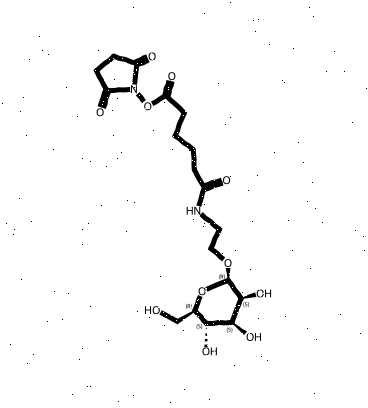 O=C(CCCCC(=O)ON1C(=O)CCC1=O)NCCO[C@@H]1O[C@H](CO)[C@@H](O)[C@H](O)[C@@H]1O